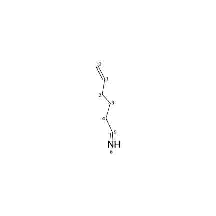 C=CCCCC=N